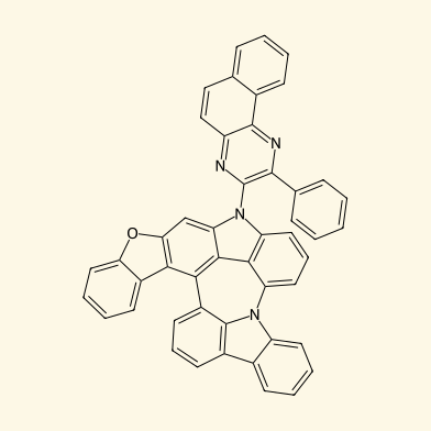 c1ccc(-c2nc3c(ccc4ccccc43)nc2-n2c3cc4oc5ccccc5c4c4c5cccc6c7ccccc7n(c7cccc2c7c43)c65)cc1